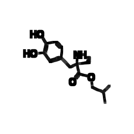 CC(C)COC(=O)[C@@](C)(N)Cc1ccc(O)c(O)c1